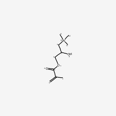 C=C(C)C(=O)OCC(O)C[N+](C)(C)C